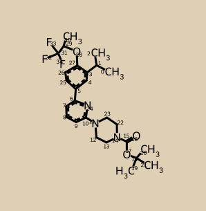 CC(C)c1cc(-c2cccc(N3CCN(C(=O)OC(C)(C)C)CC3)n2)ccc1OC(C)C(F)(F)F